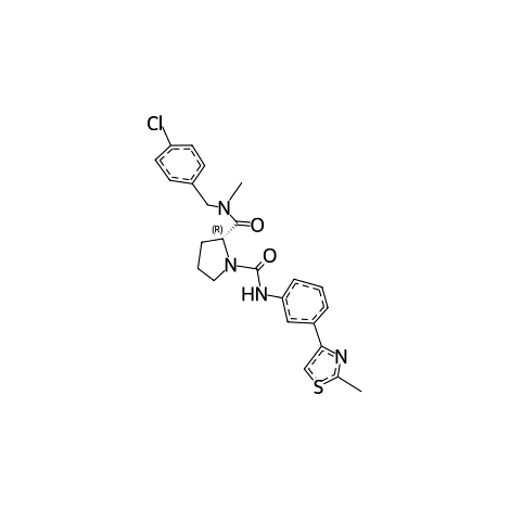 Cc1nc(-c2cccc(NC(=O)N3CCC[C@@H]3C(=O)N(C)Cc3ccc(Cl)cc3)c2)cs1